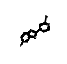 Fc1ccc2nc(-c3ccnc(Br)c3)oc2c1